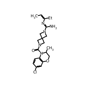 C/C=C(CC)\N=C(/N)N1CC2(CN(C(=O)N3c4ccc(Cl)cc4OCC3C)C2)C1